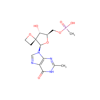 Cc1nc2c(ncn2[C@@H]2O[C@H](COP(C)(=O)O)[C@@H](O)[C@]23CCO3)c(=O)[nH]1